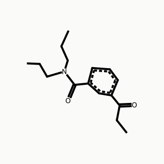 CCCN(CCC)C(=O)c1cccc(C(=O)CC)c1